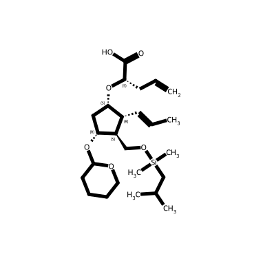 C=CC[C@H](O[C@H]1C[C@@H](OC2CCCCO2)[C@H](CO[Si](C)(C)CC(C)C)[C@H]1C=CC)C(=O)O